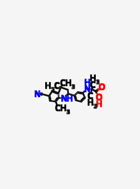 Cc1cc(C#N)cc2c1NC(c1cccc(NC(C)(C)C(=O)O)c1)CC2(C)C